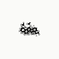 CC(=O)O[C@H]1C[C@H]2[C@H]([C@@H]3[C@@H](O)[C@@H]4[C@H]([C@H](C)C=C5OC(=O)[C@@](C)(O)[C@@]54C)[C@]31C)[C@@H](O)C(=O)[C@@]1(O)C[C@@H]3O[C@@H]3[C@H](OC(C)=O)[C@]21C